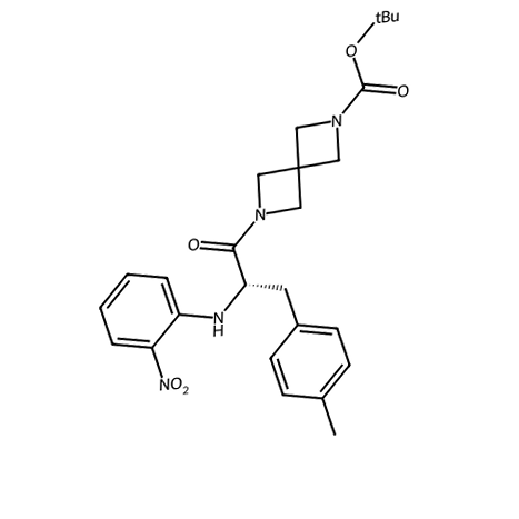 Cc1ccc(C[C@H](Nc2ccccc2[N+](=O)[O-])C(=O)N2CC3(CN(C(=O)OC(C)(C)C)C3)C2)cc1